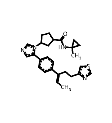 C/C=C(\CCc1cscn1)c1ccc(-c2cncn2C2CCC(C(=O)NC3(C)CC3)C2)cc1